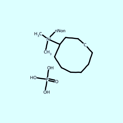 CCCCCCCCC[N+](C)(C)C1CCCCCCCCC1.O=P(O)(O)O